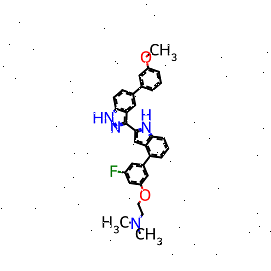 COc1cccc(-c2ccc3[nH]nc(-c4cc5c(-c6cc(F)cc(OCCN(C)C)c6)cccc5[nH]4)c3c2)c1